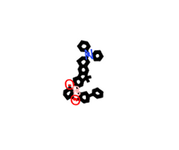 CC1(C)c2cc3c(cc2-c2cc4ccc(N(c5ccccc5)c5ccccc5)cc4cc21)Oc1cccc2c1B3c1cc(-c3ccccc3)ccc1O2